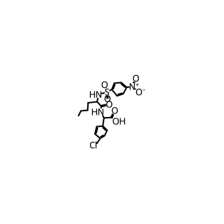 CCCCC(NS(=O)(=O)c1ccc([N+](=O)[O-])cc1)C(=O)NC(C(=O)O)c1ccc(Cl)cc1